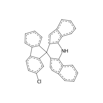 Clc1ccc2c(c1)C1(c3ccccc3-2)c2ccc3ccccc3c2Nc2c1ccc1ccccc21